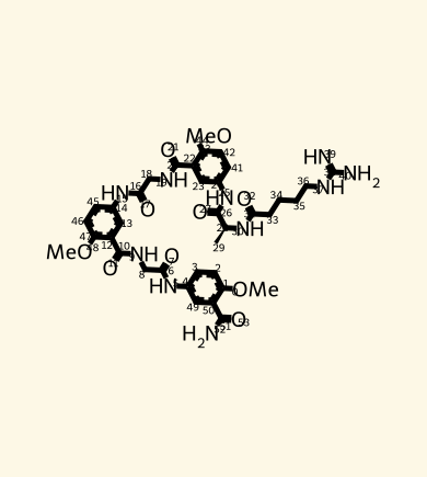 COc1ccc(NC(=O)CNC(=O)c2cc(NC(=O)CNC(=O)c3cc(NC(=O)[C@H](C)NC(=O)CCCCNC(=N)N)ccc3OC)ccc2OC)cc1C(N)=O